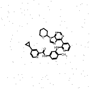 Cc1ccc(NC(=O)c2cc(C3CC3)ccn2)cc1Nc1ncccc1-c1ncnc2c1ncn2C1CCCCO1